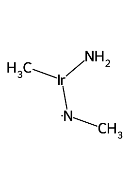 C[N][Ir]([CH3])[NH2]